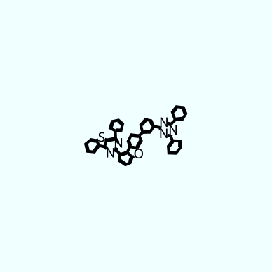 c1ccc(-c2nc(-c3ccccc3)nc(-c3cccc(-c4ccc5c(c4)oc4cccc(-c6nc(-c7ccccc7)c7sc8ccccc8c7n6)c45)c3)n2)cc1